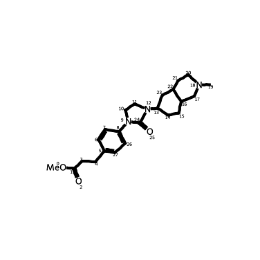 COC(=O)CCc1ccc(N2CCN(C3CCC4CN(C)CCC4C3)C2=O)cc1